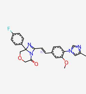 COc1cc(/C=C/C2=NC3(c4ccc(F)cc4)COCC(=O)N23)ccc1-n1cnc(C)c1